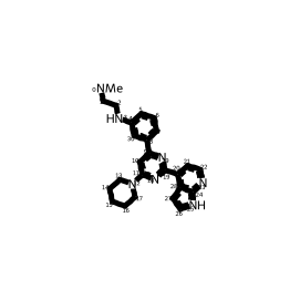 CNCCNc1cccc(-c2cc(N3CCCCC3)nc(-c3ccnc4[nH]ccc34)n2)c1